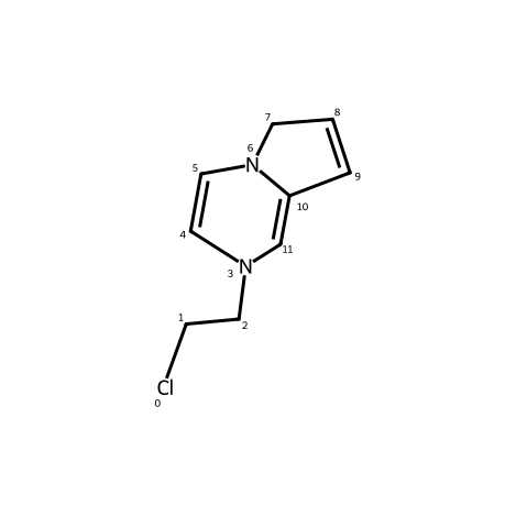 ClCCN1C=CN2CC=CC2=C1